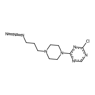 [N-]=[N+]=NCCCN1CCN(c2ncnc(Cl)n2)CC1